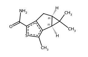 Cc1sc(C(N)=O)c2c1[C@H]1[C@@H](C2)C1(C)C